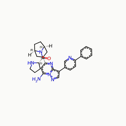 Nc1cc([C@@H]2C[C@H]3CC[C@@H](C2)N3C(=O)[C@@H]2CCCN2)nc2c(-c3ccc(-c4ccccc4)nc3)cnn12